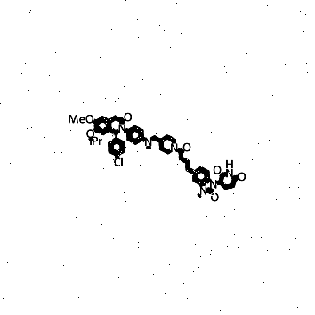 COc1cc2c(cc1OC(C)C)[C@H](c1ccc(Cl)cc1)N(c1ccc(N(C)CC3CCN(C(=O)CCCc4ccc5c(c4)n(C)c(=O)n5C4CCC(=O)NC4=O)CC3)cc1)C(=O)C2